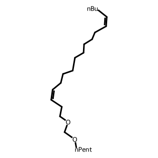 CCCC/C=C\CCCCCCCC/C=C\CCOCOCCCCC